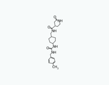 Cc1ccc(CNC(=O)NC2CCC(CNC(=O)C3CCNC(=O)C3)CC2)cc1